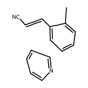 Cc1ccccc1C=CC#N.c1ccncc1